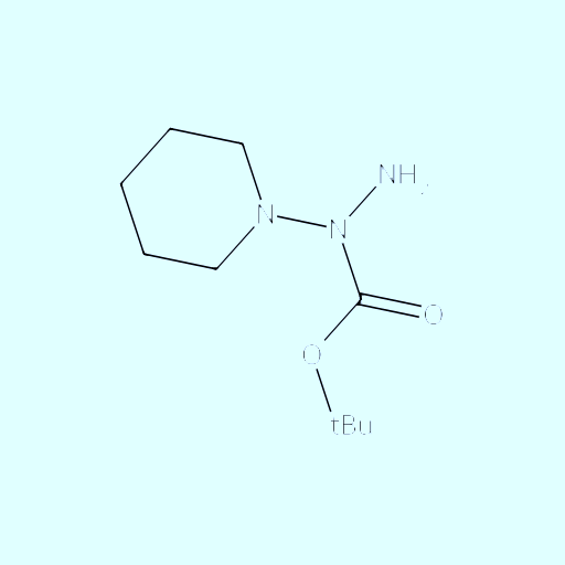 CC(C)(C)OC(=O)N(N)N1CCCCC1